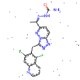 C/C(=N/NC(N)=O)c1ccc2nnc(Cc3c(F)cc4ncccc4c3F)n2n1